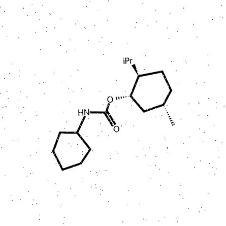 CC(C)[C@H]1CC[C@H](C)C[C@@H]1OC(=O)NC1CCCCC1